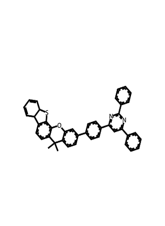 CC1(C)c2ccc(-c3ccc(-c4cc(-c5ccccc5)nc(-c5ccccc5)n4)cc3)cc2Oc2c1ccc1c2SC2C=CC=CC12